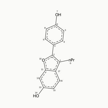 CCCc1c(-c2ccc(O)cc2)oc2cc(O)ccc12